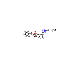 CCCCCCCNCCc1cccc(OC(C)(CC)C(=O)OCc2ccccc2)c1